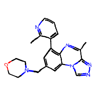 Cc1ncccc1-c1cc(CN2CCOCC2)cc2c1nc(C)c1nncn12